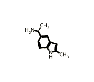 Cc1cc2cc([C@H](C)N)ccc2[nH]1